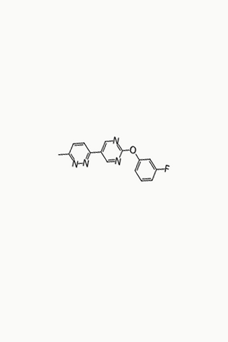 Cc1ccc(-c2cnc(Oc3cccc(F)c3)nc2)nn1